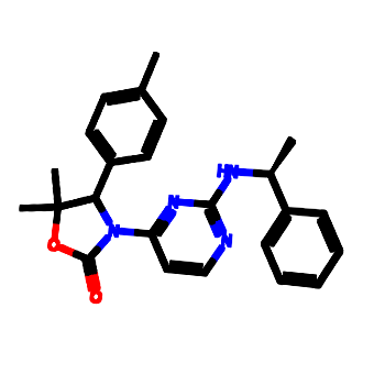 Cc1ccc(C2N(c3ccnc(N[C@@H](C)c4ccccc4)n3)C(=O)OC2(C)C)cc1